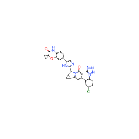 O=C1Nc2ccc(-c3cnc(C4C5CC5c5cc(-c6cc(Cl)ccc6-n6cnnn6)cc(=O)n54)[nH]3)cc2OC12CC2